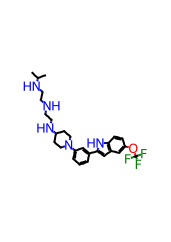 CC(C)NCCNCCNC1CCN(c2cccc(-c3cc4cc(OC(F)(F)F)ccc4[nH]3)c2)CC1